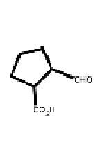 O=CC1CCCC1C(=O)O